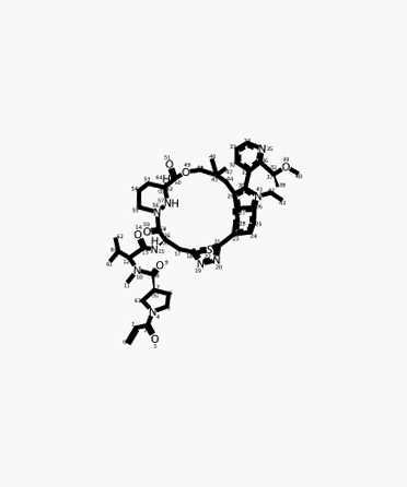 C=CC(=O)N1CC[C@H](C(=O)N(C)C(C(=O)N[C@H]2Cc3nnc(s3)-c3ccc4c(c3)c(c(-c3cccnc3[C@H](C)OC)n4CC)CC(C)(C)COC(=O)[C@@H]3CCCN(N3)C2=O)C(C)C)C1